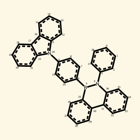 c1ccc(N2B(c3ccc(-n4c5ccccc5c5ccccc54)cc3)c3ccccc3-c3ccccc32)cc1